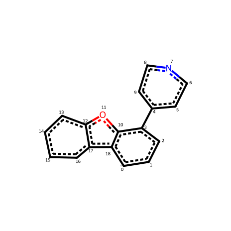 [c]1ccc(-c2ccncc2)c2oc3ccccc3c12